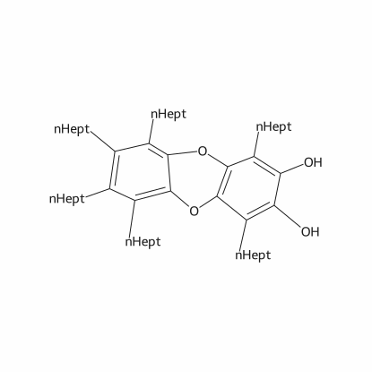 CCCCCCCc1c(CCCCCCC)c(CCCCCCC)c2c(c1CCCCCCC)Oc1c(CCCCCCC)c(O)c(O)c(CCCCCCC)c1O2